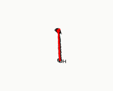 CCO[Si](CCCCCCCCCCCCCCCCCCCCCCCCCCCCCCCCCCCCC(=O)O)(OCC)OCC